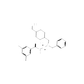 Cc1cc(C)cc(C(=O)NS(=O)(=O)N(Cc2ccccc2)CC2CCC(CO)CC2)c1